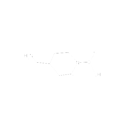 CB(O)N1CCC(CN)CC1